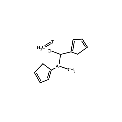 [CH2]=[Ti].[CH3][Al]([C]1=CC=CC1)[CH](Cl)C1=CC=CC1